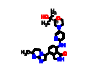 Cc1ccn2c(-c3ccc(Nc4ccc(N5CCO[C@@H](C(C)(C)O)C5)cn4)c4c3CNC4=O)cnc2n1